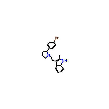 CC1=C(CCN2CCCC2c2ccc(Br)cc2)C2C=CC=CC2N1